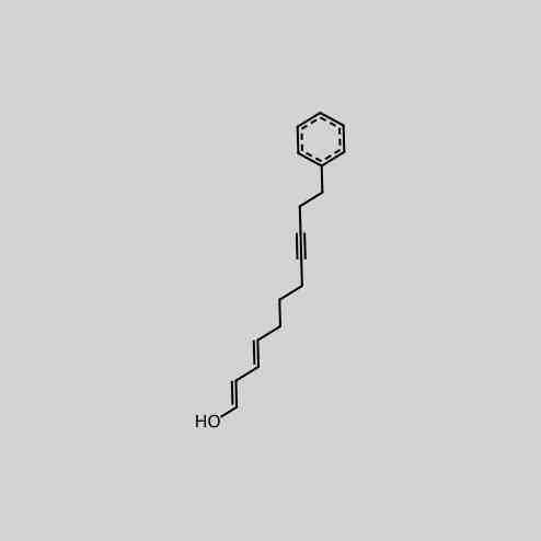 OC=CC=CCCCC#CCCc1ccccc1